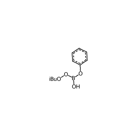 CC(C)COOB(O)Oc1ccccc1